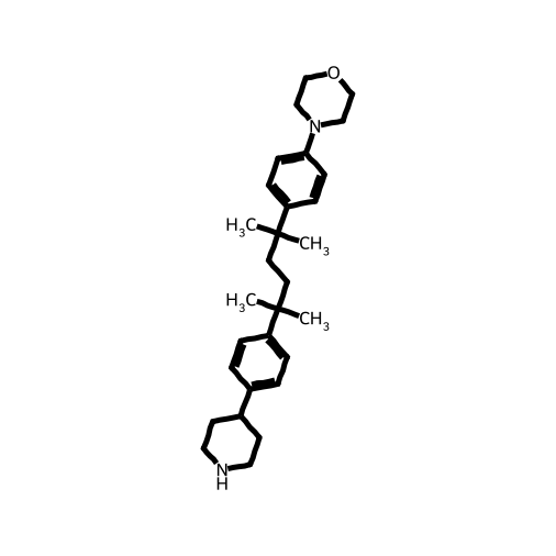 CC(C)(CCC(C)(C)c1ccc(N2CCOCC2)cc1)c1ccc(C2CCNCC2)cc1